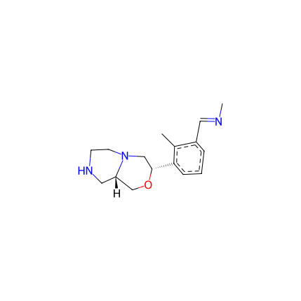 C/N=C/c1cccc([C@H]2CN3CCNC[C@H]3CO2)c1C